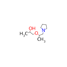 CC(O)COC(C)CN1CCCC1